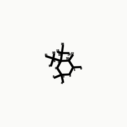 CC1CC(C)(C)CC(C(C)(C)C)(C(C)(C)C)C1C